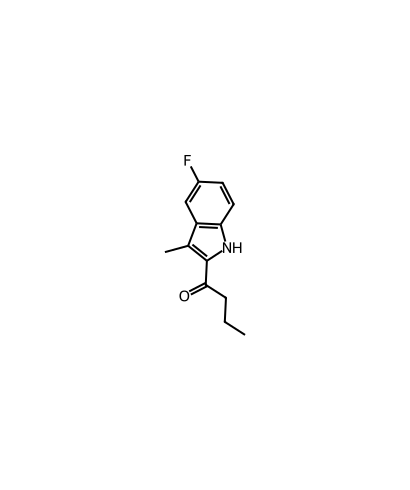 CCCC(=O)c1[nH]c2ccc(F)cc2c1C